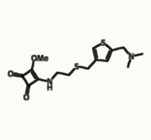 COc1c(NCCSCc2csc(CN(C)C)c2)c(=O)c1=O